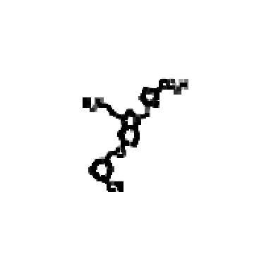 N#Cc1cccc(COc2ccc3c(c2)c(CCN)cn3Cc2ccc(C(=O)O)s2)c1